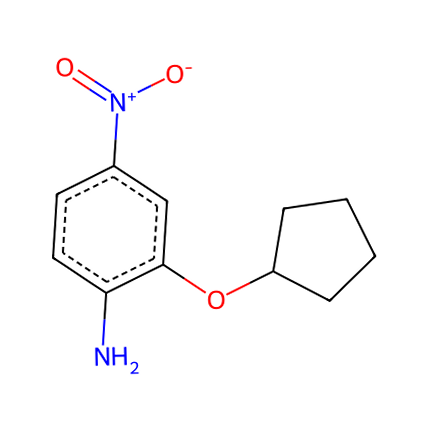 Nc1ccc([N+](=O)[O-])cc1OC1CCCC1